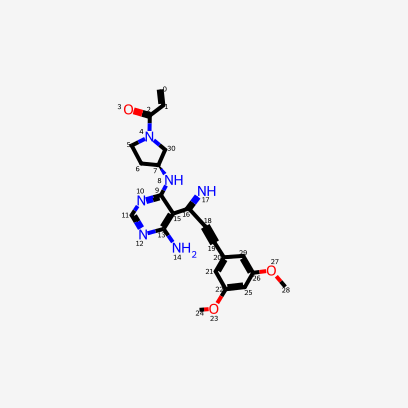 C=CC(=O)N1CC[C@H](Nc2ncnc(N)c2C(=N)C#Cc2cc(OC)cc(OC)c2)C1